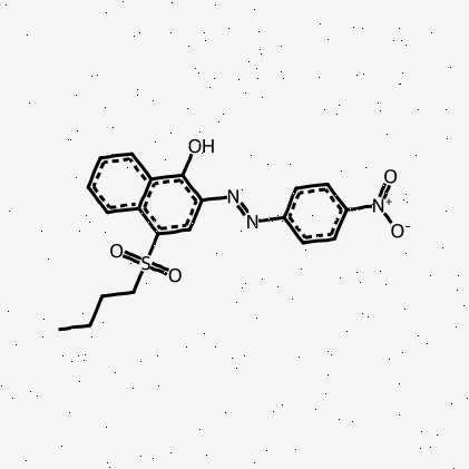 CCCCS(=O)(=O)c1cc(/N=N/c2ccc([N+](=O)[O-])cc2)c(O)c2ccccc12